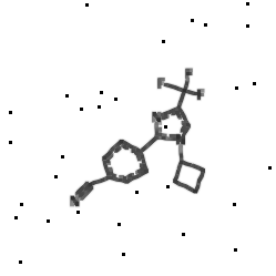 N#Cc1ccc(-c2nc(C(F)(F)F)cn2C2CCC2)cc1